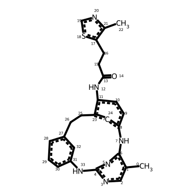 Cc1cnc2nc1Nc1ccc(NC(=O)CCc3scnc3C)c(c1)CCc1cccc(c1)N2